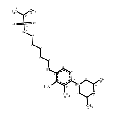 Cc1c(NCCCCCNS(=O)(=O)C(C)C)ccc(N2CC(C)OC(C)C2)c1C